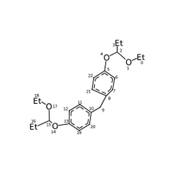 CCOC(CC)Oc1ccc(Cc2ccc(OC(CC)OCC)cc2)cc1